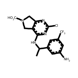 CC(Nc1nc(Cl)nc2c1CN(C(=O)O)C2)c1cc(N)cc(C(F)(F)F)c1